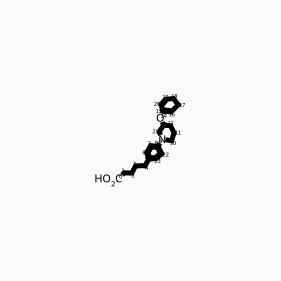 O=C(O)CCCCc1ccc(N2CCCC(OC3=CCCC=C3)C2)cc1